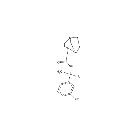 CC(C)c1cccc(C(C)(C)NC(=O)N2CCN3CCC2CC3)c1